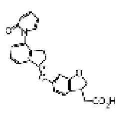 O=C(O)CC1COc2cc(O[C@@H]3CCc4c3cccc4-n3ccccc3=O)ccc21